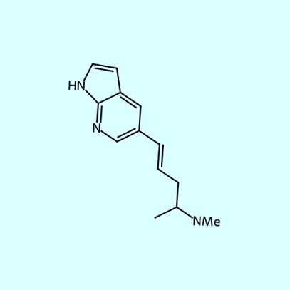 CNC(C)CC=Cc1cnc2[nH]ccc2c1